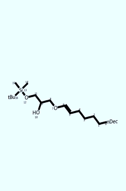 CCCCCCCCCCCCCCC=COCC(O)CO[Si](C)(C)C(C)(C)C